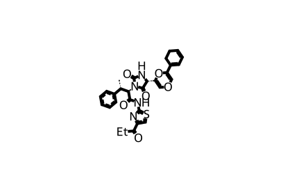 CCC(=O)c1csc(NC(=O)[C@H]([C@@H](C)c2ccccc2)N2C(=O)N[C@H](C3=COC=C(C4=CC=CCC4)O3)C2=O)n1